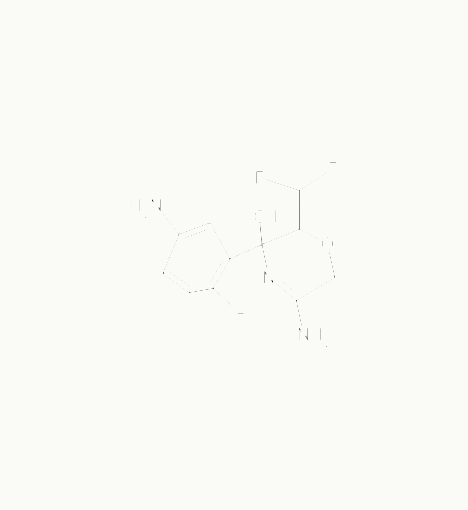 CC1(c2cc(N)ccc2F)N=C(N)COC1C(F)F